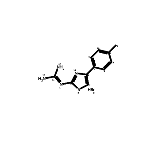 Br.Cc1ccc(-c2csc(N=C(N)N)n2)cc1